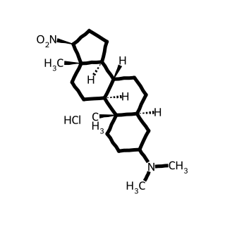 CN(C)C1CC[C@@]2(C)[C@@H](CC[C@@H]3[C@@H]2CC[C@]2(C)[C@@H]([N+](=O)[O-])CC[C@@H]32)C1.Cl